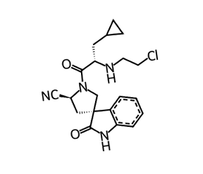 N#C[C@@H]1C[C@@]2(CN1C(=O)[C@H](CC1CC1)NCCCl)C(=O)Nc1ccccc12